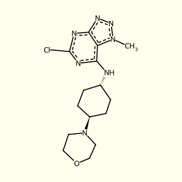 Cn1nnc2nc(Cl)nc(N[C@H]3CC[C@H](N4CCOCC4)CC3)c21